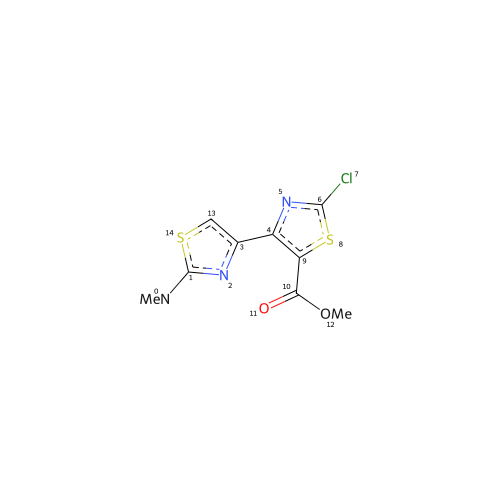 CNc1nc(-c2nc(Cl)sc2C(=O)OC)cs1